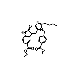 CCCCc1ncc(C=C2C(=O)Nc3ccc(C(=O)OCC)cc32)n1Cc1ccc(C(=O)OC)cc1